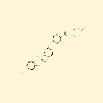 CC(=O)Nc1cccc(Nc2nc3cnc(Nc4ccc(C(=O)NN5CCC(C)CC5)cc4)nc3n2C(C)C)c1